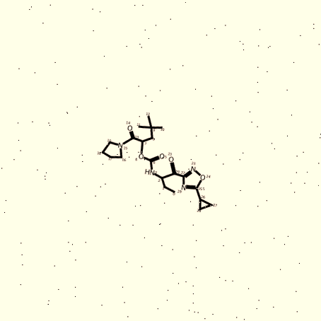 CCC(NC(=O)OC(CC(C)(C)C)C(=O)N1CCCC1)C(=O)c1noc(C2CC2)n1